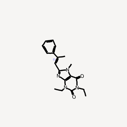 CCn1c(=O)c2c(nc(/C=C(\C)c3ccccc3)n2C)n(CC)c1=O